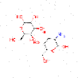 N[C@H]1C(O)O[C@H](CO)[C@H](O)[C@@H]1O.OC[C@H]1O[C@H](O)[C@H](O)[C@@H](O)[C@H]1O